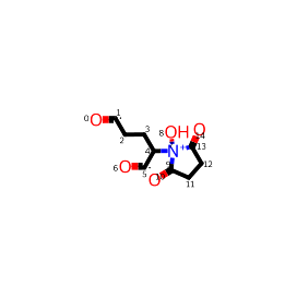 O=[C]CCC([C]=O)[N+]1(O)C(=O)CCC1=O